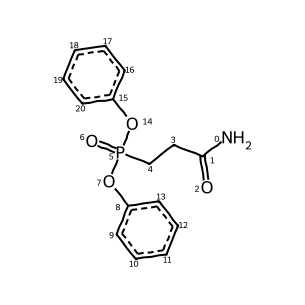 NC(=O)CCP(=O)(Oc1ccccc1)Oc1ccccc1